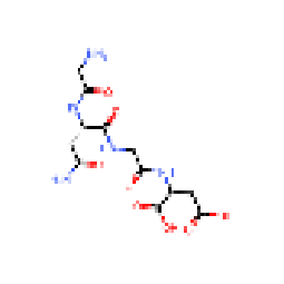 NCC(=O)N[C@@H](CC(N)=O)C(=O)NCC(=O)N[C@@H](CC(=O)O)C(=O)O